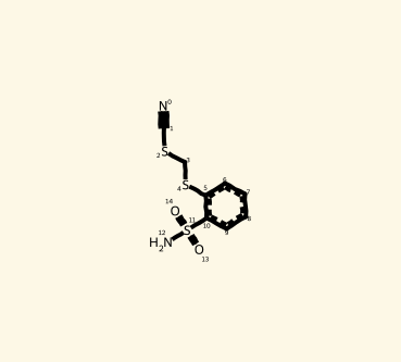 N#CSCSc1ccccc1S(N)(=O)=O